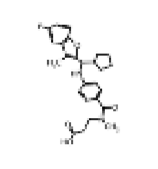 Cc1c(C(Nc2ccc(C(=O)N(C)CCC(=O)O)cc2)C2CCCC2)oc2ccc(F)cc12